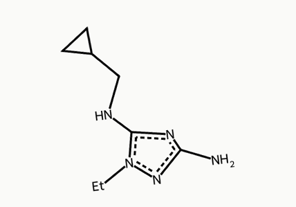 CCn1nc(N)nc1NCC1CC1